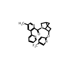 Cc1cnc(C(=O)N2CC3CC34CC(Oc3ccc(C(F)(F)F)cn3)C24)c(-c2ccccn2)c1